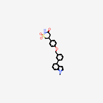 Cn1ccc2c(-c3cccc(COc4ccc(C5CC(=O)NS(=O)(=O)C5)cc4)c3)cccc21